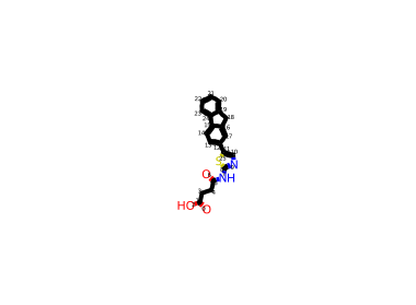 O=C(O)CCC(=O)Nc1ncc(-c2ccc3c(c2)Cc2ccccc2-3)s1